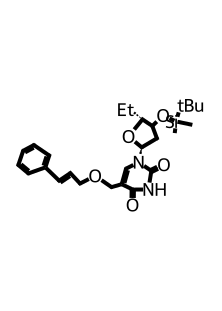 CC[C@H]1O[C@@H](n2cc(COC/C=C/c3ccccc3)c(=O)[nH]c2=O)CC1O[Si](C)(C)C(C)(C)C